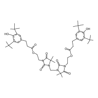 CC(C)(C)c1cc(CCC(=O)OCCN2C(=O)N(CN3C(=O)N(CCOC(=O)CCc4cc(C(C)(C)C)c(O)c(C(C)(C)C)c4)C(=O)C3(C)C)C(C)(C)C2=O)cc(C(C)(C)C)c1O